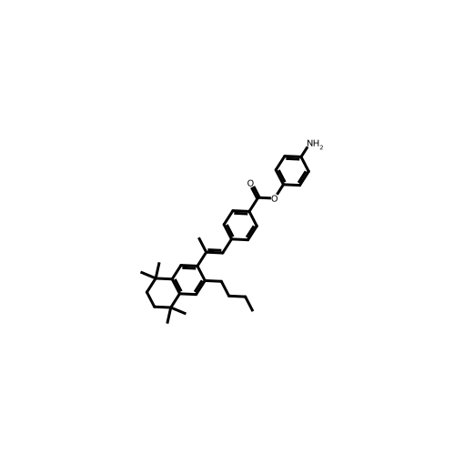 CCCCc1cc2c(cc1C(C)=Cc1ccc(C(=O)Oc3ccc(N)cc3)cc1)C(C)(C)CCC2(C)C